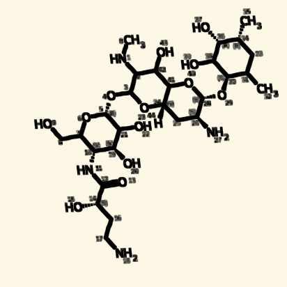 CNC1C(O[C@H]2OC(CO)[C@@H](NC(=O)[C@@H](O)CCN)[C@H](O)C2O)O[C@H]2C[C@H](N)[C@@H](O[C@@H]3C(C)C[C@@H](C)[C@@H](O)C3O)OC2C1O